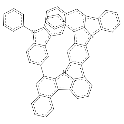 c1ccc(-n2c3ccccc3c3cc(-c4cc5ccccc5c5c6cccc7c8cc9c(cc8n(c45)c76)c4c5ccccc5cc5c6ccccc6n9c54)ccc32)cc1